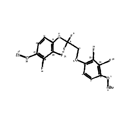 CCCCOc1ccc(OCC(F)(F)Oc2ccc(OCC)c(F)c2F)c(F)c1F